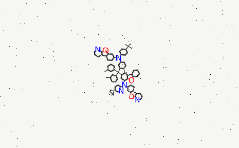 Cc1cccc(C2(c3cccc(C)c3)c3cc(N(c4ccc(C(C)(C)C)cc4)c4ccc5c(c4)oc4ncccc45)ccc3-c3c2cc(N(c2ccc4c(c2)oc2ncccc24)c2ccc([Si](C)(C)C)cn2)c2oc4ccccc4c32)c1